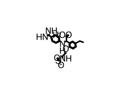 CCc1ccc(OCCNS(C)(=O)=O)c(C(Nc2ccc(C(=N)N)cc2)C(=O)O)c1